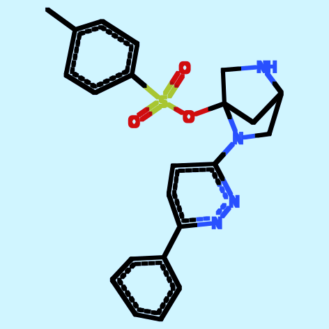 Cc1ccc(S(=O)(=O)OC23CNC(CN2c2ccc(-c4ccccc4)nn2)C3)cc1